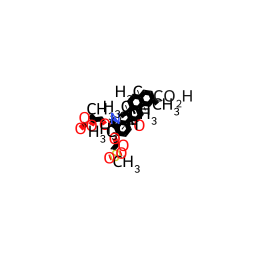 Cc1oc(=O)oc1COC1=N[C@@]23CC[C@]4(C)[C@H](C(=O)C=C5[C@@H]6C[C@@](C)(C(=O)O)CC[C@]6(C)CC[C@]54C)[C@@]2(C)CC[C@H](OC(=O)CS(C)(=O)=O)[C@@]13C